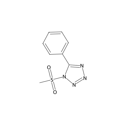 CS(=O)(=O)n1nnnc1-c1ccccc1